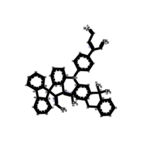 C=C/C=C(\C=C)c1ccc(N(c2ccc3c(c2)C(C)(C)c2ccccc2C3)c2cccc3c2C(=C/C)/C(=C\C)C32c3ccccc3-c3ccccc32)cc1